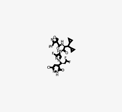 CC(C)c1nocc1C(=O)N[C@H](C(=O)Nc1cn([C@@H](CC(F)F)c2cc(Cl)n[nH]c2=O)nc1F)C(C1CC1)C1CC1